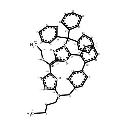 CCCCN(Cc1ccc(-c2ccccc2-c2nnnn2C(c2ccccc2)(c2ccccc2)c2ccccc2)cc1)c1nnc(C(=O)OCC)s1